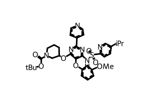 COc1cccc(Oc2c(NS(=O)(=O)c3ccc(C(C)C)cn3)nc(-c3ccncc3)nc2OC2CCCN(C(=O)OC(C)(C)C)C2)c1